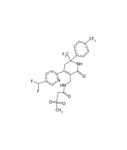 CS(=O)(=O)CC(=O)NCC1=C(c2ccc(C(F)F)cn2)CC(c2ccc(C(F)(F)F)cc2)(C(F)(F)F)NC1=O